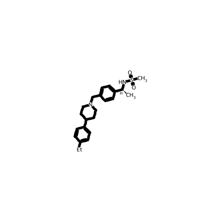 CCc1ccc(C2CCN(Cc3ccc([C@@H](C)NS(C)(=O)=O)cc3)CC2)cc1